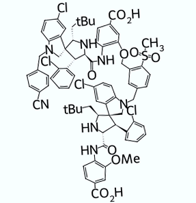 COc1cc(C(=O)O)ccc1NC(=O)[C@@H]1N[C@@H](CC(C)(C)C)[C@@]2(CN(Cc3ccc(S(C)(=O)=O)c(COc4cc(C(=O)O)ccc4NC(=O)[C@@H]4N[C@@H](CC(C)(C)C)[C@@]5(CN(Cc6ccc(C#N)cc6)c6ccc(Cl)cc65)[C@H]4c4ccccc4Cl)c3)c3ccc(Cl)cc32)[C@H]1c1ccccc1Cl